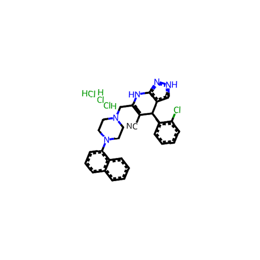 Cl.Cl.Cl.N#CC1=C(CN2CCN(c3cccc4ccccc34)CC2)Nc2n[nH]cc2C1c1ccccc1Cl